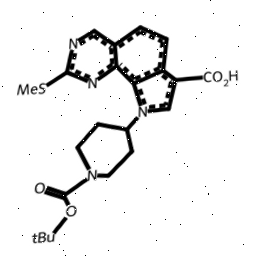 CSc1ncc2ccc3c(C(=O)O)cn(C4CCN(C(=O)OC(C)(C)C)CC4)c3c2n1